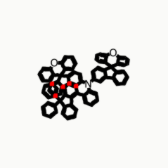 c1ccc(C2(c3ccccc3)c3ccccc3-c3c(-c4ccccc4N(c4ccc5c(c4)-c4ccccc4C54c5ccccc5Oc5ccccc54)c4ccc5c(c4)-c4ccccc4C54c5ccccc5Oc5ccccc54)cccc32)cc1